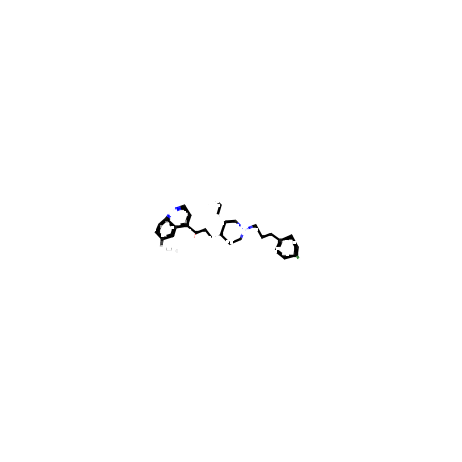 COc1ccc2nccc([C@H](O)CC[C@@H]3CCN(CCCc4ccc(Cl)cc4)C[C@H]3CCC(=O)O)c2c1